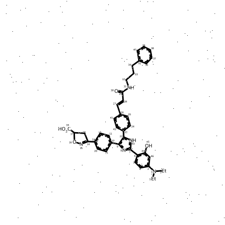 CCN(CC)c1ccc(-c2nc(-c3ccc(C4=NOC(C(=O)O)C4)cc3)c(-c3ccc(C=CC(=O)NCCCc4ccccc4)cc3)[nH]2)c(O)c1